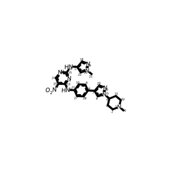 CN1CCC(n2cc(-c3ccc(Nc4nc(Nc5cnn(C)c5)ncc4[N+](=O)[O-])cc3)cn2)CC1